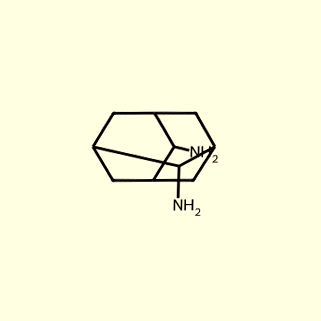 NC1C2CC3CC1CC(C2)C3N